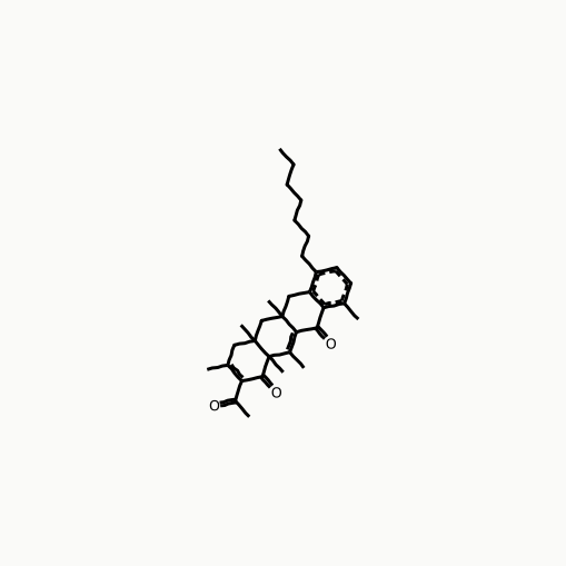 CCCCCCCc1ccc(C)c2c1CC1(C)CC3(C)CC(C)=C(C(C)=O)C(=O)C3(C)C(C)=C1C2=O